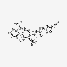 C#Cc1nc(NC(=O)NC(CS(C)(=O)=O)c2ccc(-c3cccnc3C3(C#N)CC3)c(Cl)c2)cs1